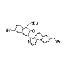 CC(C)Cc1ccc2c(c1)cc1c3c(nccc32)-c2cc3cc(C(C)C)ccc3c(CC(C)(C)C)c2O1